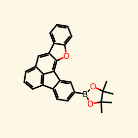 CC1(C)OB(c2ccc3c(c2)-c2c4oc5ccccc5c4cc4cccc-3c24)OC1(C)C